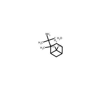 CC1(C)C2CCC(C)(C(C)(C)N)C1C2.O